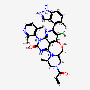 C=CC(=O)N1CC(C)N2c3nc(=O)n(-c4c(C)ccnc4C(C)C)c4nc(-c5c(C)ccc6[nH]ncc56)c(Cl)c(c34)OCC2C1